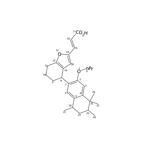 CCCOc1cc2c(cc1C1CCCc3oc(/C=C/C(=O)O)cc31)C(C)CC(C)C2(C)C